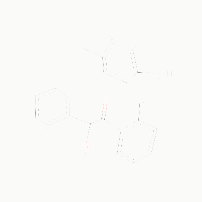 Cc1ccc(S(=O)(=O)O)cc1.Cc1ccccc1C(=O)C(O)c1ccccc1